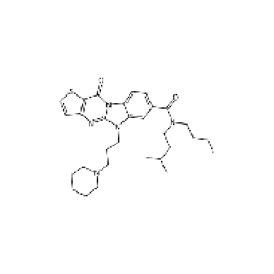 CCCCN(CCC(C)C)C(=O)c1ccc2c(c1)n(CCCN1CCCCC1)c1nc3ccsc3c(=O)n21